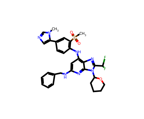 Cn1cncc1-c1ccc(Nc2cc(NCc3ccccc3)nc3c2nc(C(F)F)n3C2CCCCO2)c(S(C)(=O)=O)c1